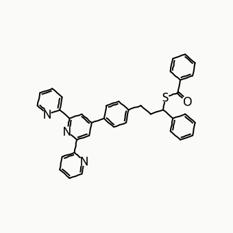 O=C(SC(CCc1ccc(-c2cc(-c3ccccn3)nc(-c3ccccn3)c2)cc1)c1ccccc1)c1ccccc1